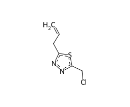 C=CCc1nnc(CCl)s1